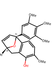 COc1ccc2c(c1O)C[C@@H]1C=C[C@@]2(c2cc(OC)c(OC)c(OC)c2)O1